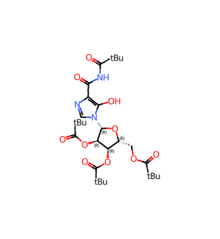 CC(C)(C)C(=O)NC(=O)c1ncn([C@@H]2O[C@H](COC(=O)C(C)(C)C)[C@@H](OC(=O)C(C)(C)C)[C@H]2OC(=O)C(C)(C)C)c1O